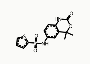 CC1(C)OC(=O)Nc2ccc(NS(=O)(=O)c3cccs3)cc21